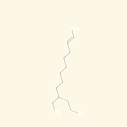 CCCCCCCCC=CCCCCCCC(CN)CCO